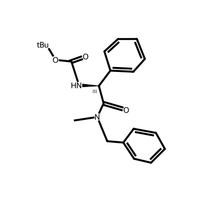 CN(Cc1ccccc1)C(=O)[C@@H](NC(=O)OC(C)(C)C)c1ccccc1